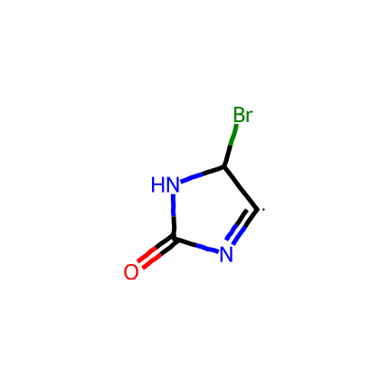 O=C1N=[C]C(Br)N1